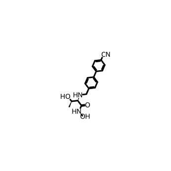 C[C@@H](O)[C@H](NCc1ccc(-c2ccc(C#N)cc2)cc1)C(=O)NO